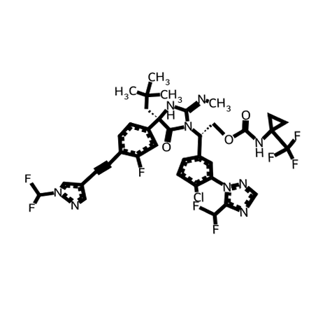 CN=C1N[C@](CC(C)(C)C)(c2ccc(C#Cc3cnn(C(F)F)c3)c(F)c2)C(=O)N1[C@H](COC(=O)NC1(C(F)(F)F)CC1)c1ccc(Cl)c(-n2ncnc2C(F)F)c1